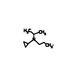 [CH2]CCN(C(C)C)C1CC1